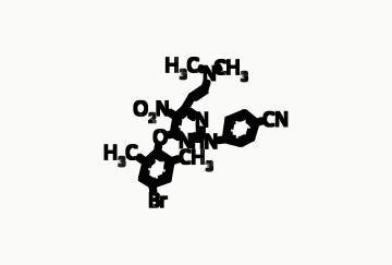 Cc1cc(Br)cc(C)c1Oc1nc(Nc2ccc(C#N)cc2)nc(C=CN(C)C)c1[N+](=O)[O-]